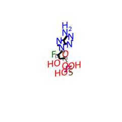 Nc1ncnc2c1ncn2[C@@H]1O[C@H](COP(O)(O)=S)C(O)[C@@H]1F